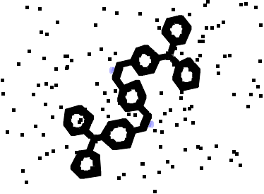 C(=C/c1ccc(N(c2ccccc2)c2ccccc2)cc1)/c1ccc(/C=C\c2ccc(N(c3ccccc3)c3ccccc3)cc2)cc1